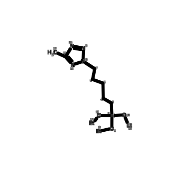 CCO[Si](CCCCCn1nnc(C)n1)(OCC)OCC